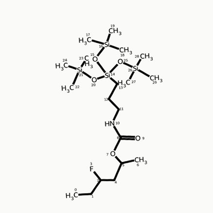 CCC(F)CC(C)OC(=O)NCCC[Si](O[Si](C)(C)C)(O[Si](C)(C)C)O[Si](C)(C)C